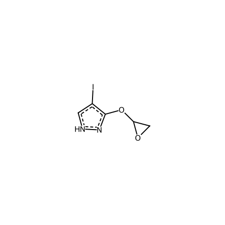 Ic1c[nH]nc1OC1CO1